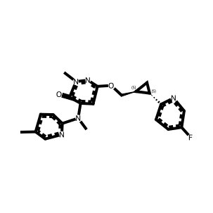 Cc1ccc(N(C)c2cc(OC[C@H]3C[C@@H]3c3ccc(F)cn3)nn(C)c2=O)nc1